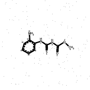 COC(=O)NC(=S)Nc1ccccc1N